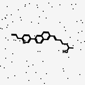 C=CCc1ccc(-c2ccc3cc(C=CCCCC(C)O)ccc3c2)cn1